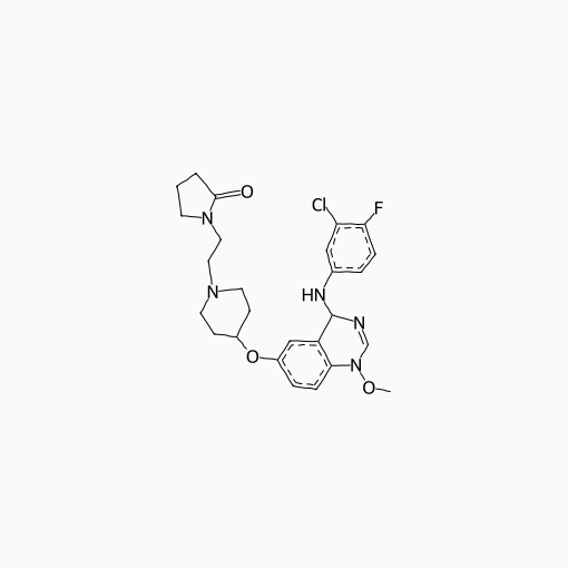 CON1C=NC(Nc2ccc(F)c(Cl)c2)c2cc(OC3CCN(CCN4CCCC4=O)CC3)ccc21